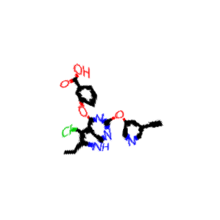 C#Cc1cncc(Oc2nc(Oc3cccc(C(=O)O)c3)c3c(Cl)c(CC)[nH]c3n2)c1